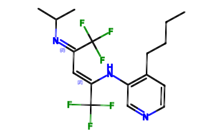 CCCCc1ccncc1N/C(=C\C(=N\C(C)C)C(F)(F)F)C(F)(F)F